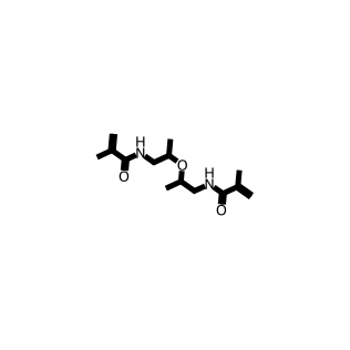 C=C(C)C(=O)NCC(C)OC(C)CNC(=O)C(=C)C